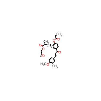 C=C(C)C(=O)OCC1CO1.C=CC(=O)Oc1ccc(C(=O)C=Cc2ccc(OC)c(C)c2)cc1